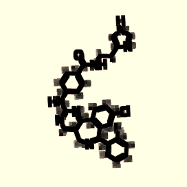 O=C(NCCc1c[nH]cn1)c1ccc(Nc2ncc3c(n2)-c2ccc(Cl)cc2C(c2ccccc2F)=NC3)cc1